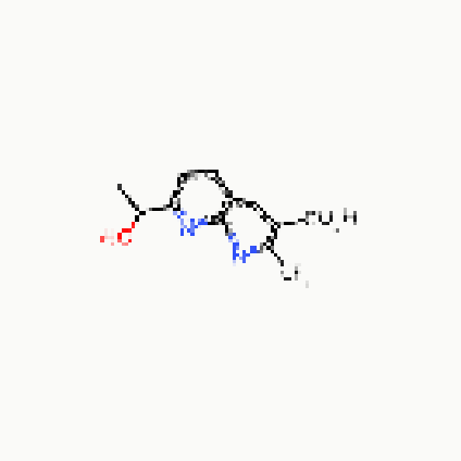 CC(O)c1ccc2cc(C(=O)O)c(C(F)(F)F)nc2n1